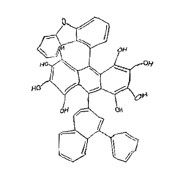 Oc1c(O)c(O)c2c(-c3cccc4oc5ccccc5c34)c3c(O)c(O)c(O)c(O)c3c(-c3cc(-c4ccccc4)c4ccccc4c3)c2c1O